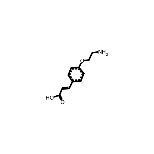 NCCOc1ccc(C=CC(=O)O)cc1